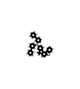 CC1(C)c2cc(N(c3cccc(-c4ccccc4)c3)c3cccc(-c4ccccc4)c3)ccc2-c2c1ccc1oc3ccccc3c21